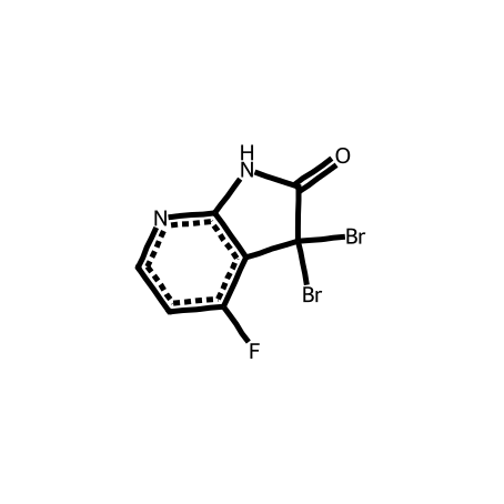 O=C1Nc2nccc(F)c2C1(Br)Br